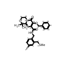 CSCc1cc(F)ccc1CNC(=O)c1nc2n(c(=O)c1OCc1ccccc1)CCOC2(C)C